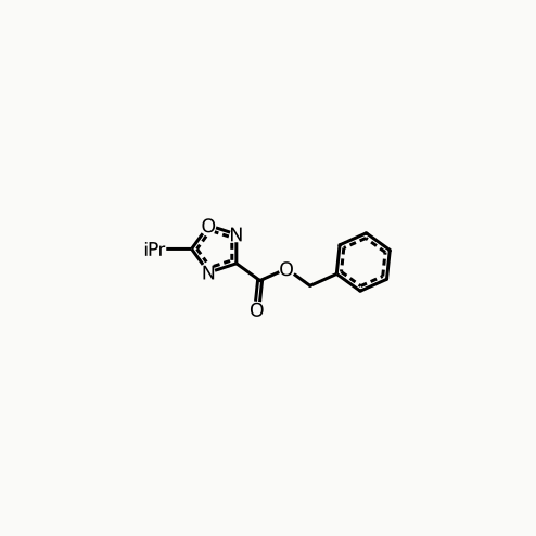 CC(C)c1nc(C(=O)OCc2ccccc2)no1